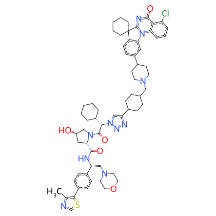 Cc1ncsc1-c1ccc([C@H](CN2CCOCC2)NC(=O)[C@@H]2C[C@@H](O)CN2C(=O)[C@H](C2CCCCC2)n2cc(C3CCC(CN4CCC(c5ccc6c(c5)-n5c(nc(=O)c7c(Cl)cccc75)C65CCCCC5)CC4)CC3)nn2)cc1